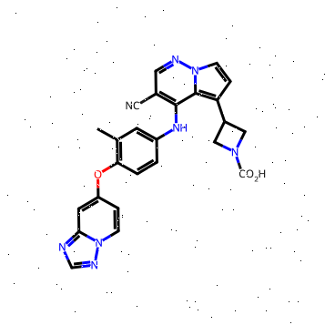 Cc1cc(Nc2c(C#N)cnn3ccc(C4CN(C(=O)O)C4)c23)ccc1Oc1ccn2ncnc2c1